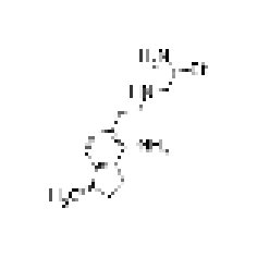 C=C1CCc2c1ccc(CCNCC(N)CC)c2N